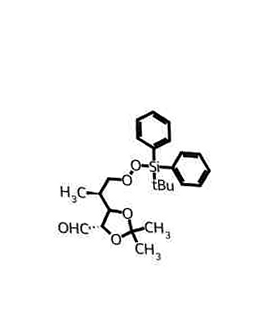 C[C@@H](COO[Si](c1ccccc1)(c1ccccc1)C(C)(C)C)C1OC(C)(C)O[C@@H]1C=O